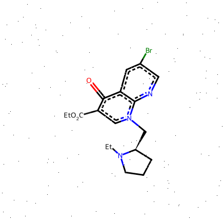 CCOC(=O)c1cn(C[C@H]2CCCN2CC)c2ncc(Br)cc2c1=O